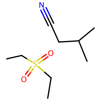 CC(C)CC#N.CCS(=O)(=O)CC